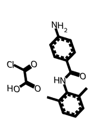 Cc1cccc(C)c1NC(=O)c1ccc(N)cc1.O=C(O)C(=O)Cl